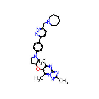 Cc1nc2nc(C)c(OC3CCN(c4ccc(-c5ccc(CN6CCCCCC6)nn5)cc4)C3)c(C)n2n1